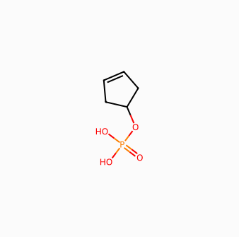 O=P(O)(O)OC1CC=CC1